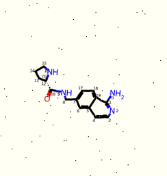 Nc1nccc2cc(CNC(=O)[C@@H]3CCCN3)ccc12